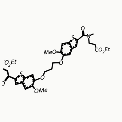 CCOC(=O)CCC(=O)c1cc2cc(OC)c(OCCCOc3cc4cc(C(=O)N(C)CCC(=O)OCC)sc4cc3OC)cc2s1